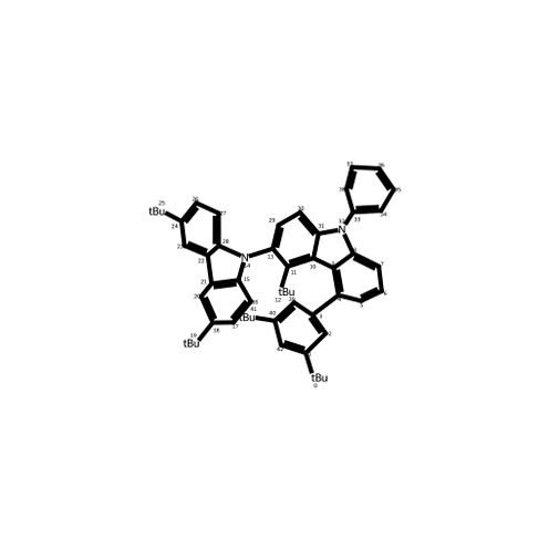 CC(C)(C)c1cc(-c2cccc3c2c2c(C(C)(C)C)c(-n4c5ccc(C(C)(C)C)cc5c5cc(C(C)(C)C)ccc54)ccc2n3-c2ccccc2)cc(C(C)(C)C)c1